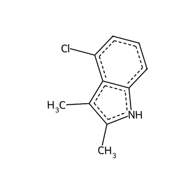 Cc1[nH]c2cccc(Cl)c2c1C